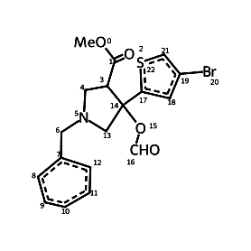 COC(=O)C1CN(Cc2ccccc2)CC1(OC=O)c1cc(Br)cs1